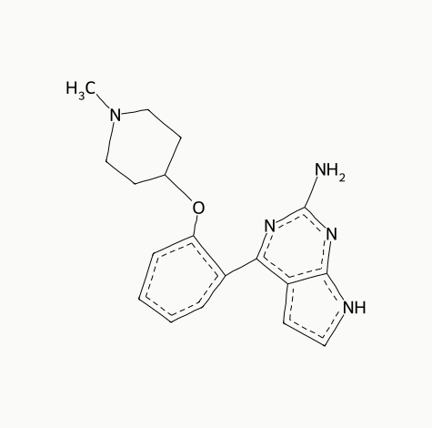 CN1CCC(Oc2ccccc2-c2nc(N)nc3[nH]ccc23)CC1